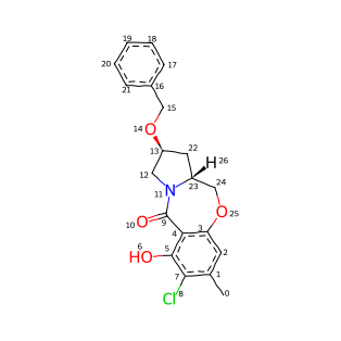 Cc1cc2c(c(O)c1Cl)C(=O)N1C[C@@H](OCc3ccccc3)C[C@@H]1CO2